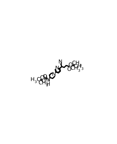 CC(C)(C)OC(=O)CCC(C#N)c1ccc(N2CCC(NC(=O)OC(C)(C)C)CC2)cn1